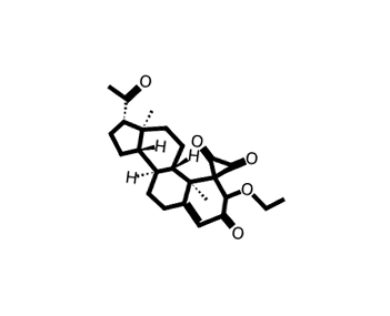 CCOC1C(=O)C=C2CC[C@H]3[C@@H]4CC[C@H](C(C)=O)[C@@]4(C)CC[C@@H]3[C@@]2(C)C12C(=O)C2=O